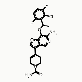 C[C@@H](Oc1c(N)ncc2c(C3=CCN(C(N)=O)CC3)coc12)c1c(F)ccc(F)c1Cl